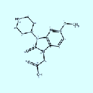 COc1ccc2c(n1)n(C1CCNCC1)c(=O)n2CC(=O)O